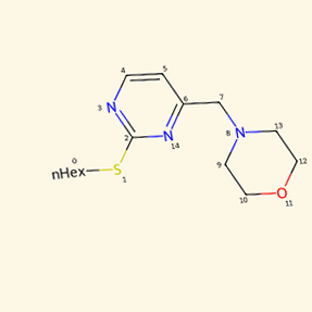 CCCCCCSc1nccc(CN2CCOCC2)n1